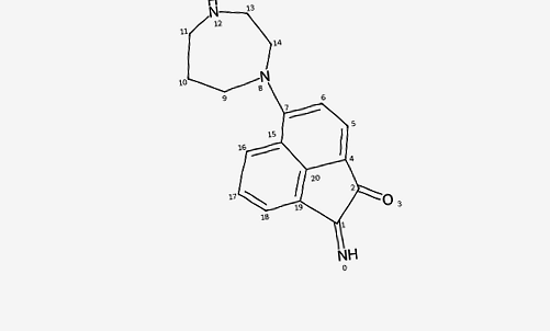 N=C1C(=O)c2ccc(N3CCCNCC3)c3cccc1c23